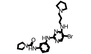 O=C(Nc1cccc(Nc2ncc(Br)c(NCCCN3CCCC3)n2)c1)N1CCCC1